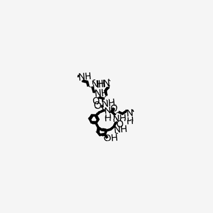 CNCCC[C@@H](CNC(=O)[C@H](CCCNC)NC(=O)[C@@H]1Cc2cccc(c2)-c2ccc(O)c(c2)C[C@H](NC)C(=O)N[C@@H](CCCNC)C(=O)N1)NC